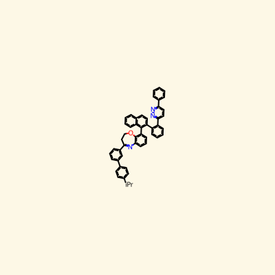 CC(C)c1ccc(-c2cccc(C3=Nc4cccc(-c5c(-c6ccccc6-c6ccc(-c7ccccc7)nn6)ccc6ccccc56)c4OCC3)c2)cc1